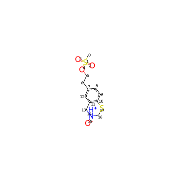 CS(=O)(=O)OCCc1ccc2c(c1)C[NH+]([O-])CS2